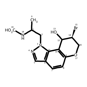 CC(Cn1ncc2ccc3c(c21)C(O)[C@@H](Br)CO3)NC(=O)O